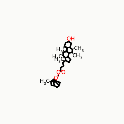 C[C@@H]1C2C[C@H](O)CC[C@]2(C)C2C[C@H](C)[C@]3(C)C(CCCC(=O)OCOC45CC6CC(CC(C)(C6)C4)C5)CCC3C2[C@@H]1C